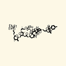 C=C(Br)C[C@@H](CC[C@@]12C[C@H]3O[C@H]4[C@@H](O1)[C@H]1O[C@@H](CC(=O)C[C@H]5C(C[C@H]6O[C@@H](CCCO[Si](CC)(CC)CC)C[C@@H](C)C6=C)O[C@H](C[C@H](C)CO[Si](C)(C)C(C)(C)C)[C@@H]5C)CC[C@@H]1O[C@H]4C3O2)OS(=O)(=O)c1ccc(C)cc1